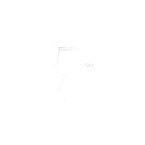 CCOOC(C)=O.N